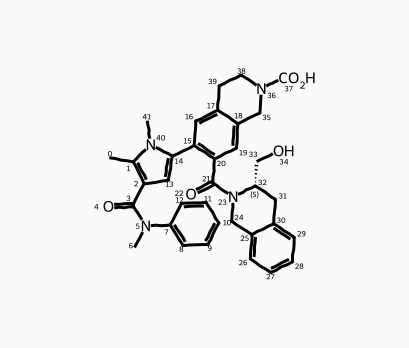 Cc1c(C(=O)N(C)c2ccccc2)cc(-c2cc3c(cc2C(=O)N2Cc4ccccc4C[C@H]2CO)CN(C(=O)O)CC3)n1C